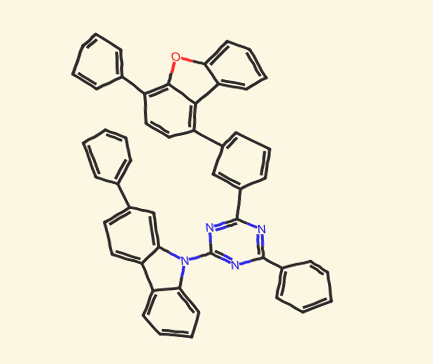 c1ccc(-c2ccc3c4ccccc4n(-c4nc(-c5ccccc5)nc(-c5cccc(-c6ccc(-c7ccccc7)c7oc8ccccc8c67)c5)n4)c3c2)cc1